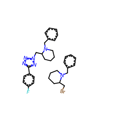 BrCC1CCCCN1Cc1ccccc1.Fc1ccc(-c2nnn(CC3CCCCN3Cc3ccccc3)n2)cc1